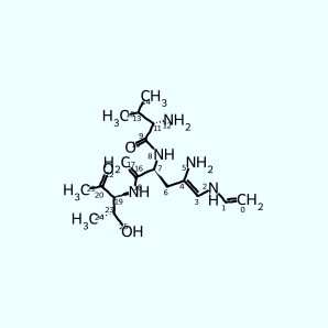 C=CN/C=C(\N)C[C@H](NC(=O)[C@@H](N)C(C)C)C(=C)N[C@H](C(C)=O)[C@@H](C)O